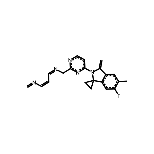 C=N/C=C\C=N/Cc1nccc(N2C(=C)c3cc(C)c(F)cc3C23CC3)n1